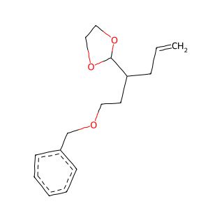 C=CCC(CCOCc1ccccc1)C1OCCO1